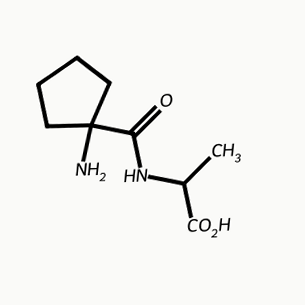 CC(NC(=O)C1(N)CCCC1)C(=O)O